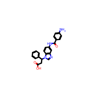 Nc1ccc(C(=O)Nc2ccc3c(c2)ncn3C(CC(=O)O)c2ccccc2)cc1